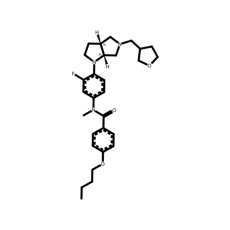 CCCCOc1ccc(C(=O)N(C)c2ccc(N3CC[C@@H]4CN(CC5CCOC5)C[C@@H]43)c(F)c2)cc1